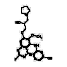 COc1c(OCC(O)CN2CCCC2)cc2nc(F)nc(Br)c2c1Nc1cccc(O)c1